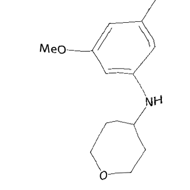 COc1cc(C)cc(NC2CCOCC2)c1